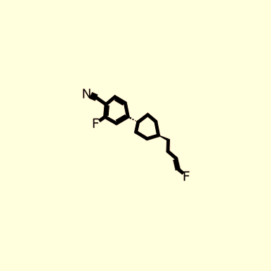 N#Cc1ccc([C@H]2CC[C@H](CCC=CF)CC2)cc1F